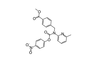 COC(=O)c1ccc(CN(C(=O)Oc2ccc([N+](=O)[O-])cc2)c2cccc(C)n2)cc1